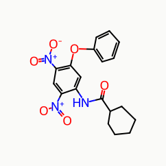 O=C(Nc1cc(Oc2ccccc2)c([N+](=O)[O-])cc1[N+](=O)[O-])C1CCCCC1